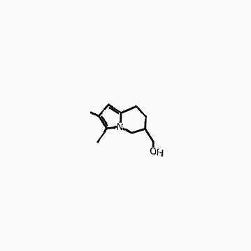 Cc1cc2n(c1C)CC(CO)CC2